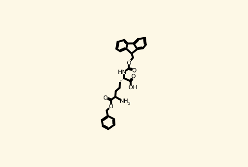 NC(CCC[C@H](NC(=O)OCC1c2ccccc2-c2ccccc21)C(=O)O)C(=O)OCc1ccccc1